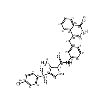 CC1C(S(=O)(=O)c2ccc(Cl)cc2)=CSC1C(=O)Nc1cccc(Cc2n[nH]c(=O)c3ccccc23)c1